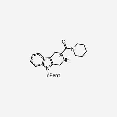 CCCCCn1c2c(c3ccccc31)C[C@@H](C(=O)N1CCCCC1)NC2